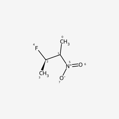 CC([C@@H](C)F)[N+](=O)[O-]